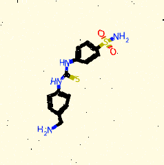 NCc1ccc(NC(=S)Nc2ccc(S(N)(=O)=O)cc2)cc1